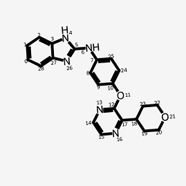 c1ccc2[nH]c(Nc3ccc(Oc4nccnc4C4CCOCC4)cc3)nc2c1